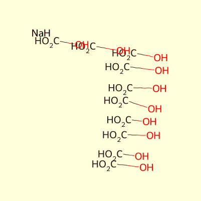 O=C(O)O.O=C(O)O.O=C(O)O.O=C(O)O.O=C(O)O.O=C(O)O.O=C(O)O.O=C(O)O.O=C(O)O.O=C(O)O.[NaH]